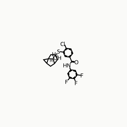 O=C(Nc1cc(F)c(F)c(F)c1)c1ccc(Cl)c(S[C@H]2CC3CC4CC4(C2)[C@@H]3O)c1